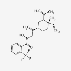 C=C[C@]1(C)CC[C@@H](C(=C)CN(O)C(=O)c2ccccc2C(F)(F)F)C[C@H]1C(=C)C